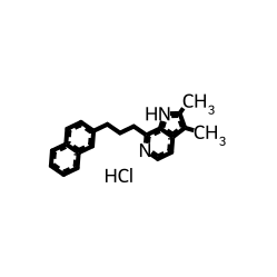 Cc1[nH]c2c(CCCc3ccc4ccccc4c3)nccc2c1C.Cl